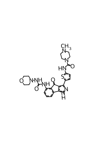 CN1CCN(C(=O)Nc2ccc(-c3n[nH]c4c3C(=O)c3c(NC(=O)NN5CCOCC5)cccc3-4)s2)CC1